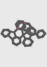 C1=CCC(C23c4ccccc4-c4cccc(c42)C(c2ccccc2)(c2ccccc2N(c2ccccc2)c2ccccc2)c2ccccc23)C=C1